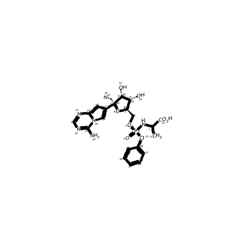 CC(NP(=O)(OC[C@H]1O[C@@](C#N)(c2cc3ncnc(N)n3c2)[C@H](O)[C@@H]1O)Oc1ccccc1)C(=O)O